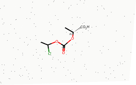 CC(Cl)OC(=O)O[C@H](C)C(=O)O